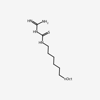 CCCCCCCCCCCCCCNC(=S)NC(=N)N